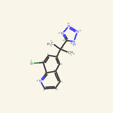 CC(C)(c1cc(Br)c2ncccc2c1)c1nnn[nH]1